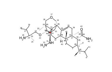 CC(C)[C@@H](C)[C@@]1(C)CC[C@]2(C)[C@H]3CC[C@@H]4[C@@]5(COC[C@]4(C)[C@@H](OC[C@@](C)(N)C(C)C)[C@H](NN)C5)C3=CC[C@@]2(C)[C@@H]1C(N)=O